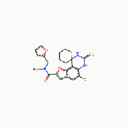 C=C1Nc2c(Cl)cc3cc(C(=O)N(C)Cc4ccco4)oc3c2C2(CCCCC2)N1